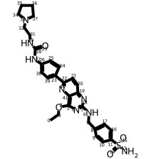 CCOc1nc(NCc2ccc(S(N)(=O)=O)cc2)nc2ccc(-c3ccc(NC(=O)NCCN4CCCC4)cc3)nc12